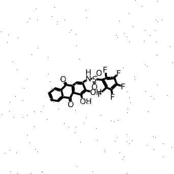 O=C1c2ccccc2C(=O)c2c1cc(NS(=O)(=O)c1c(F)c(F)c(F)c(F)c1F)c(O)c2O